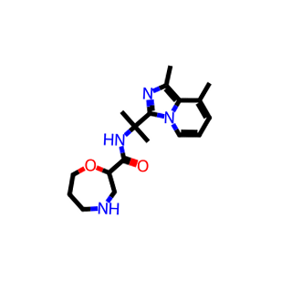 Cc1cccn2c(C(C)(C)NC(=O)C3CNCCCO3)nc(C)c12